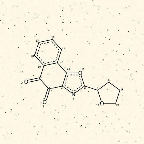 O=C1C(=O)c2nc(C3CCCO3)oc2-c2ccccc21